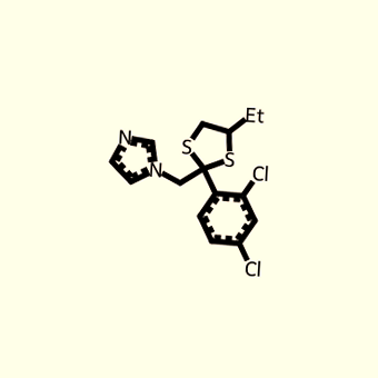 CCC1CSC(Cn2ccnc2)(c2ccc(Cl)cc2Cl)S1